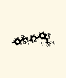 CC(C)(O)c1n[nH]c2ccc(-c3ccc(NCC(C)(C)c4ccc(F)cc4)nn3)cc12